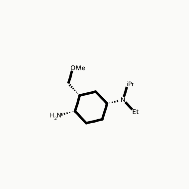 CCN(C(C)C)[C@@H]1CC[C@H](N)[C@H](COC)C1